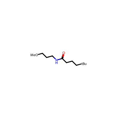 COCCCNC(=O)CCCC(C)(C)C